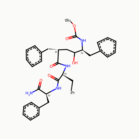 CC(C)C[C@H](NC(=O)[C@H](Cc1ccccc1)CC(O)[C@H](Cc1ccccc1)NC(=O)OC(C)(C)C)C(=O)N[C@@H](Cc1ccccc1)C(N)=O